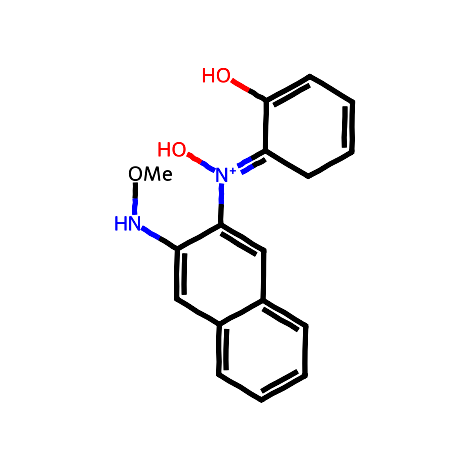 CONc1cc2ccccc2cc1/[N+](O)=C1\CC=CC=C1O